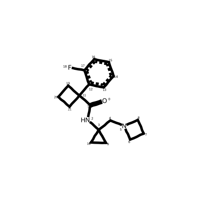 O=C(NC1(CN2CCC2)CC1)C1(c2ccccc2F)CCC1